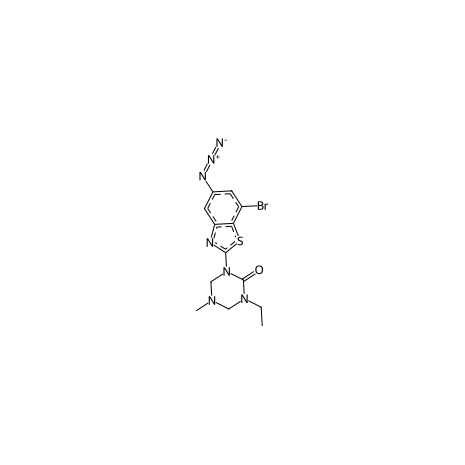 CCN1CN(C)CN(c2nc3cc(N=[N+]=[N-])cc(Br)c3s2)C1=O